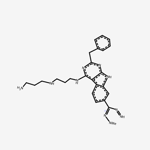 CN/N=C(\N=N)c1ccc2c(c1)[nH]c1nc(Cc3ccccc3)nc(NCCCNCCCN)c12